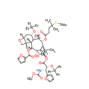 CC[Si](CC)(CC)O[C@H]1C[C@H]2OC[C@@]2(OC(C)=O)[C@H]2[C@H](OC(=O)c3ccco3)[C@]3(O)C[C@H](OC(=O)[C@H](O[Si](C(C)C)(C(C)C)C(C)C)[C@@H](NC(=O)OC(C)(C)C)c4ccco4)C(C)=C([C@@H](OC(=O)CCC(C)(C)SSC)C(=O)[C@]12C)C3(C)C